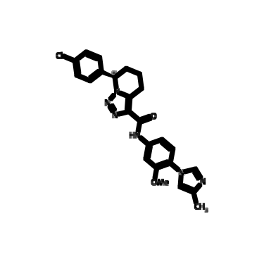 COc1cc(NC(=O)c2nnn3c2CCC[C@@H]3c2ccc(Cl)cc2)ccc1-n1cnc(C)c1